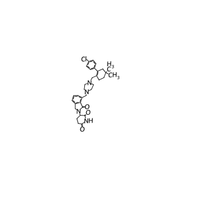 CC1(C)CCC(CN2CCN(Cc3cccc4c3C(=O)N(C3CCC(=O)NC3=O)C4)CC2)=C(c2ccc(Cl)cc2)C1